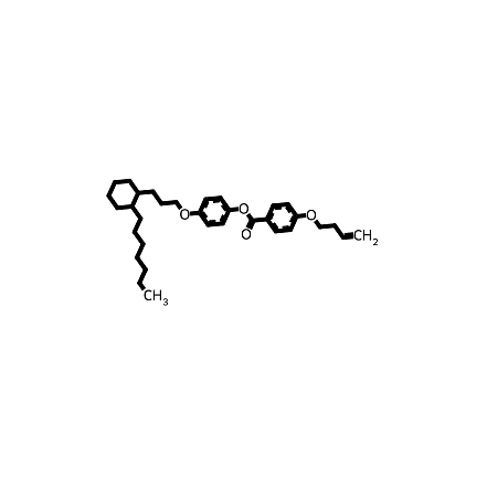 C=CCCOc1ccc(C(=O)Oc2ccc(OCCCC3CCCCC3CCCCCCC)cc2)cc1